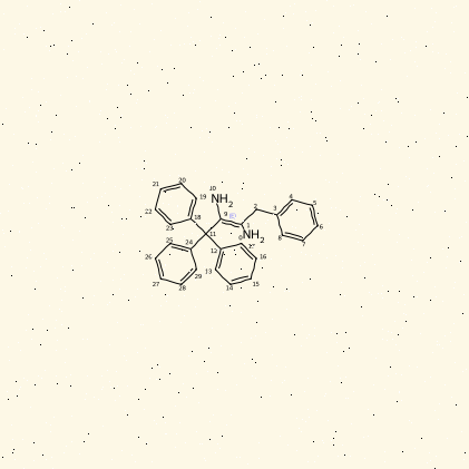 N/C(Cc1ccccc1)=C(/N)C(c1ccccc1)(c1ccccc1)c1ccccc1